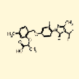 Cc1ccc(COc2ccc(-n3nc(C)n(C(F)F)c3=O)c(F)c2)c(OC(C)C(=O)O)c1